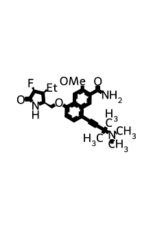 CC[C@@H]1[C@H](F)C(=O)N[C@@H]1COc1ccc(C#CC(C)(C)N(C)C)c2cc(C(N)=O)c(OC)cc12